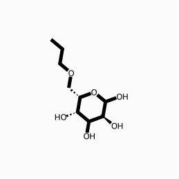 CCCOC[C@@H]1OC(O)[C@@H](O)C(O)[C@@H]1O